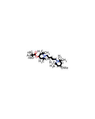 CCCCC(CCCC)(C(C)=O)C(=O)OC1CC(C)(C)N(CCC=CCN2C(C)(C)CC(OC)CC2(C)C)C(C)(C)C1